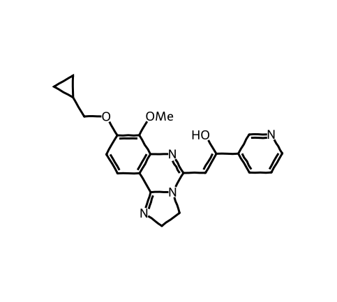 COc1c(OCC2CC2)ccc2c1N=C(/C=C(\O)c1cccnc1)N1CCN=C21